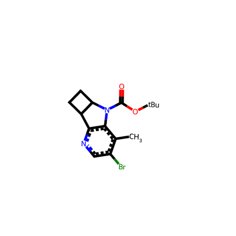 Cc1c(Br)cnc2c1N(C(=O)OC(C)(C)C)C1CCC21